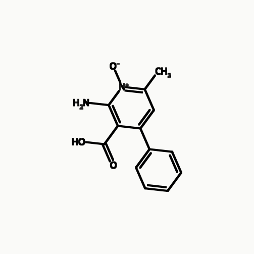 Cc1cc(-c2ccccc2)c(C(=O)O)c(N)[n+]1[O-]